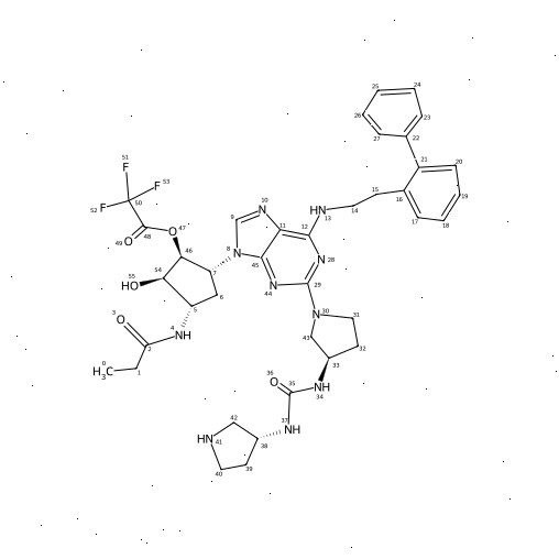 CCC(=O)N[C@H]1C[C@@H](n2cnc3c(NCCc4ccccc4-c4ccccc4)nc(N4CC[C@@H](NC(=O)N[C@@H]5CCNC5)C4)nc32)[C@H](OC(=O)C(F)(F)F)[C@@H]1O